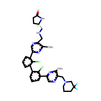 COc1nc(-c2cccc(-c3cccc(-c4cnc(CN5CCCC(F)(F)C5)c(OC)n4)c3Cl)c2Cl)cnc1CNC[C@@H]1CCC(=O)N1